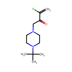 C=C(F)C(=O)CN1CCN(C(C)(C)C)CC1